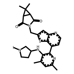 Cc1cc(C)c(NC2CCN(I)C2)c(-c2ccnc3cc(CN4C(=O)C5C(C4=O)C5(C)C)sc23)n1